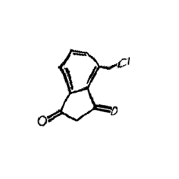 O=C1CC(=O)c2c(Cl)cccc21